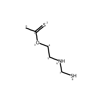 CC(=S)OCCNCS